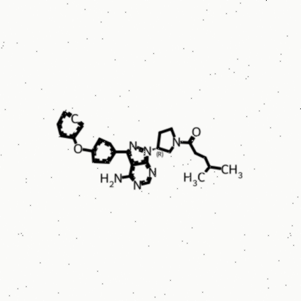 CC(C)CCC(=O)N1CC[C@@H](n2nc(-c3ccc(Oc4ccccc4)cc3)c3c(N)ncnc32)C1